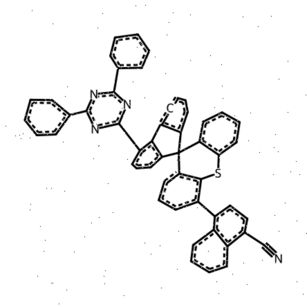 N#Cc1ccc(-c2cccc3c2Sc2ccccc2C32c3ccccc3-c3c(-c4nc(-c5ccccc5)nc(-c5ccccc5)n4)cccc32)c2ccccc12